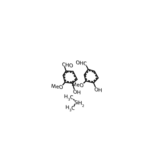 COc1cc(C=O)ccc1O.COc1cc(C=O)ccc1O.C[SiH2]C